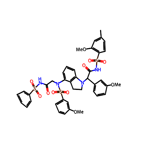 COc1cccc(C(C(=O)NS(=O)(=O)c2ccc(C)cc2OC)N2CCc3c2cccc3N(CC(=O)NS(=O)(=O)c2ccccc2)S(=O)(=O)c2cccc(OC)c2)c1